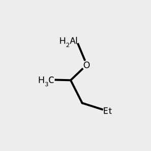 CCCC(C)[O][AlH2]